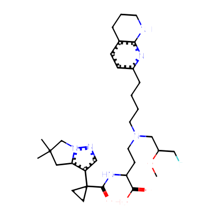 COC(CF)CN(CCCCc1ccc2c(n1)NCCC2)CCC(NC(=O)C1(c2cnn3c2CC(C)(C)C3)CC1)C(=O)O